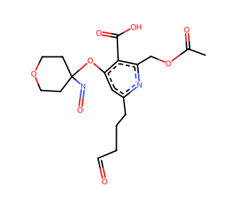 CC(=O)OCc1nc(CCCC=O)cc(OC2(N=O)CCOCC2)c1C(=O)O